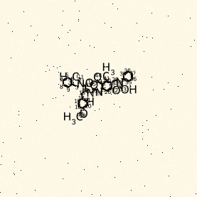 CCN(Cc1ccccc1)C(=O)[C@H](Cc1ccc(OC)cc1)Nc1nc2ccc(CN(C(=O)O)c3ccccc3)c(C)c2c(=O)o1